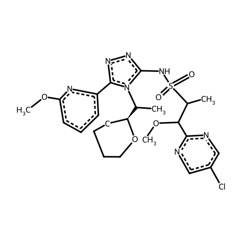 COc1cccc(-c2nnc(NS(=O)(=O)C(C)C(OC)c3ncc(Cl)cn3)n2C(C)[C@@H]2CCCCO2)n1